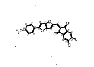 O=C1C(=Cc2cc3oc(-c4ccc(C(F)(F)F)cc4)cc3o2)C(=O)c2cc(Cl)c(Cl)cc21